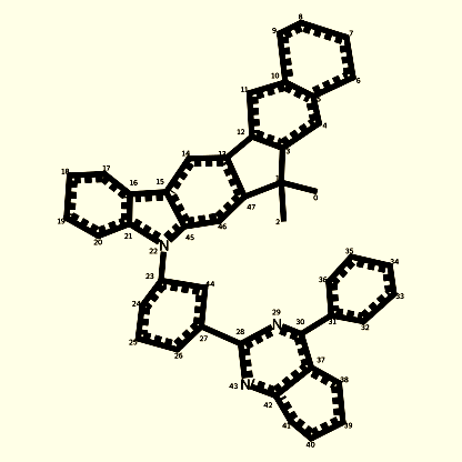 CC1(C)c2cc3ccccc3cc2-c2cc3c4ccccc4n(-c4cccc(-c5nc(-c6ccccc6)c6ccccc6n5)c4)c3cc21